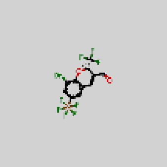 O=CC1=Cc2cc(S(F)(F)(F)(F)F)cc(Br)c2O[C@@H]1C(F)(F)F